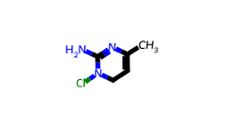 CC1=CCN(Cl)C(N)=N1